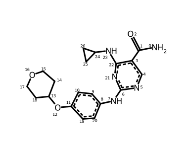 NC(=O)c1cnc(Nc2ccc(OC3CCOCC3)cc2)nc1NC1CC1